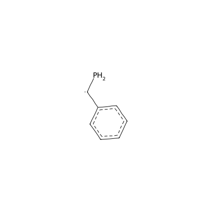 P[CH]c1ccccc1